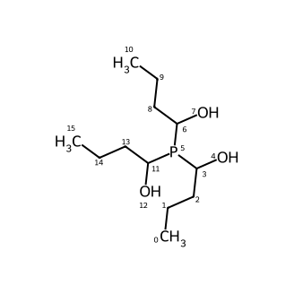 CCCC(O)P(C(O)CCC)C(O)CCC